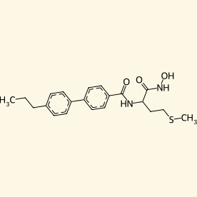 CCCc1ccc(-c2ccc(C(=O)NC(CCSC)C(=O)NO)cc2)cc1